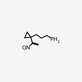 C=C(N=O)C1(CCCP)CC1